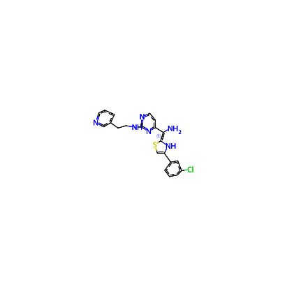 N/C(=C1\NC(c2cccc(Cl)c2)=CS1)c1ccnc(NCCc2cccnc2)n1